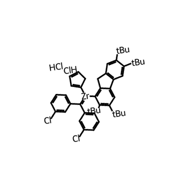 CC(C)(C)c1cc2c(cc1C(C)(C)C)-c1cc(C(C)(C)C)c(C(C)(C)C)[c]([Zr]([C]3=CC=CC3)=[C](c3cccc(Cl)c3)c3cccc(Cl)c3)c1C2.Cl.Cl